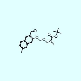 Cc1ccc2cc(C=O)c(OCOCN(C)C(=O)OC(C)(C)C)cc2c1